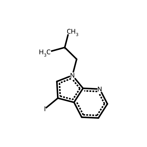 C[C](C)Cn1cc(I)c2cccnc21